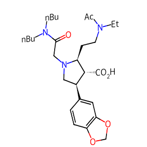 CCCCN(CCCC)C(=O)CN1C[C@H](c2ccc3c(c2)OCO3)[C@@H](C(=O)O)[C@@H]1CCN(CC)C(C)=O